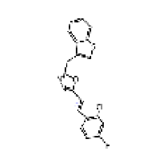 Fc1ccc(/C=C/c2nnc(Cc3csc4ccccc34)o2)c(Cl)c1